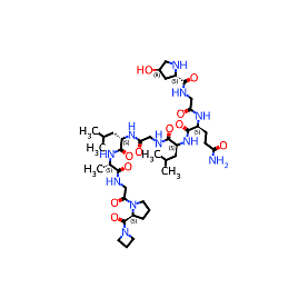 CC(C)C[C@H](NC(=O)CNC(=O)[C@H](CC(C)C)NC(=O)[C@H](CCC(N)=O)NC(=O)CNC(=O)[C@@H]1C[C@@H](O)CN1)C(=O)N[C@@H](C)C(=O)NCC(=O)N1CCC[C@H]1C(=O)N1CCC1